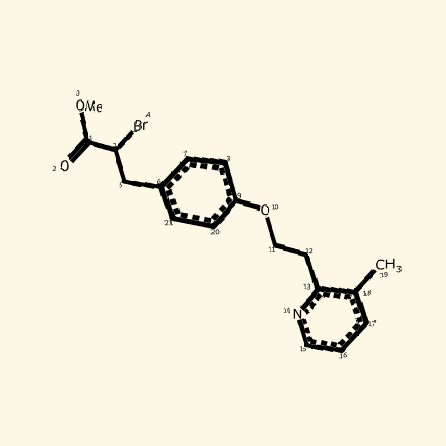 COC(=O)C(Br)Cc1ccc(OCCc2ncccc2C)cc1